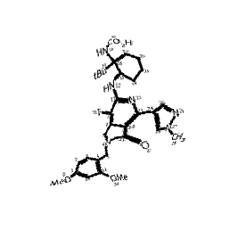 COc1ccc(CN2Cc3c(F)c(NC4CCCCC4(NC(=O)O)C(C)(C)C)nc(-c4cnn(C)c4)c3C2=O)c(OC)c1